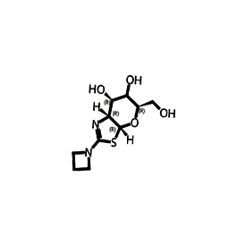 OC[C@H]1O[C@@H]2SC(N3CCC3)=N[C@@H]2[C@@H](O)C1O